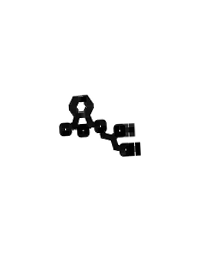 O=C1OC(OCC(O)CO)c2ccccc21